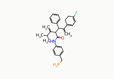 C=C(C(C)C)C(C(=O)Nc1ccc(CP)cc1)C(C(=C)C1=CC=C(F)CC1)c1ccccc1